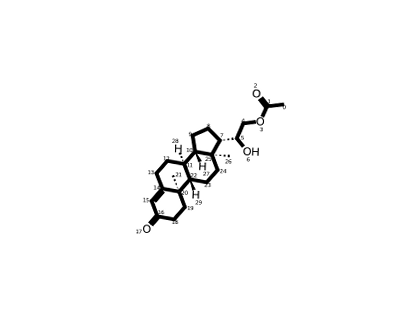 CC(=O)OCC(O)[C@H]1CC[C@H]2[C@@H]3CCC4=CC(=O)CC[C@]4(C)[C@H]3CC[C@]12C